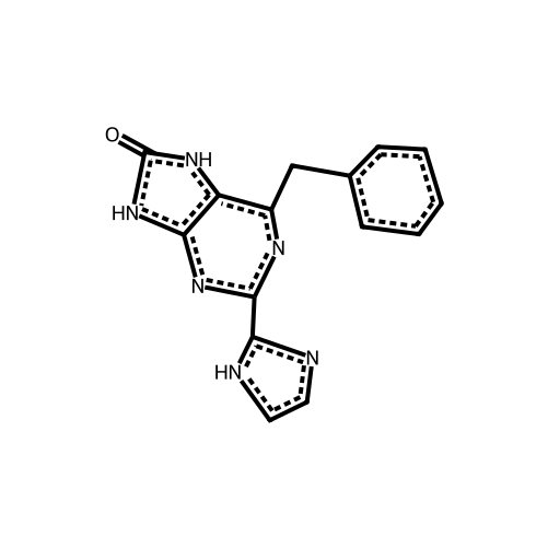 O=c1[nH]c2nc(-c3ncc[nH]3)nc(Cc3ccccc3)c2[nH]1